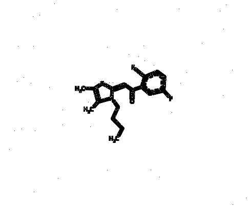 CCCCN1C(=CC(=O)c2cc(F)ccc2F)SC(C)=C1C